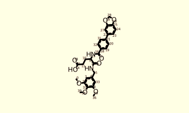 COc1cc(CNC(=O)C(CCC(=O)O)NC(=O)c2ccc(-c3ccc4c(c3)OCO4)cc2)cc(OC)c1OC